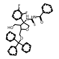 O=C(NC(=S)N[C@@]1(c2cccc(F)c2F)COC(COC(c2ccccc2)(c2ccccc2)c2ccccc2)C1CO)c1ccccc1